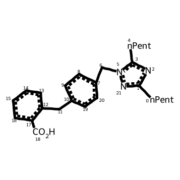 CCCCCc1nc(CCCCC)n(Cc2ccc(Cc3ccccc3C(=O)O)cc2)n1